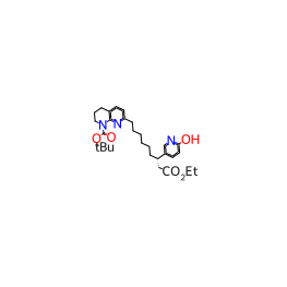 CCOC(=O)C[C@H](CCCCCCc1ccc2c(n1)N(C(=O)OC(C)(C)C)CCC2)c1ccc(O)nc1